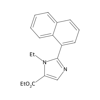 CCOC(=O)c1cnc(-c2cccc3ccccc23)n1CC